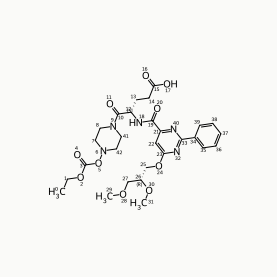 CCOC(=O)ON1CCN(C(=O)[C@H](CCC(=O)O)NC(=O)c2cc(OC[C@@H](COC)OC)nc(-c3ccccc3)n2)CC1